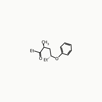 CCC(=O)[C@@H](C)C[C@@H](CC)Oc1ccccc1